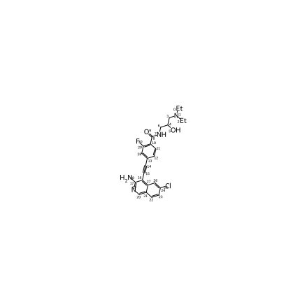 CCN(CC)CC(O)CNC(=O)c1ccc(C#Cc2c(N)ncc3ccc(Cl)cc23)cc1F